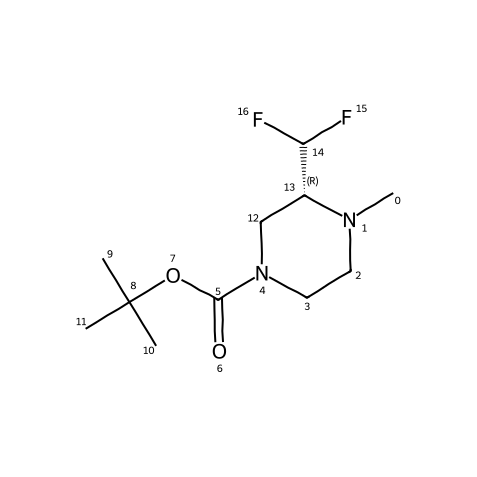 CN1CCN(C(=O)OC(C)(C)C)C[C@@H]1C(F)F